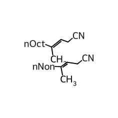 CCCCCCCCC(C)=CCC#N.CCCCCCCCCC(C)=CCC#N